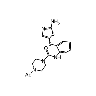 CC(=O)N1CCN(C(=O)Nc2ccccc2Sc2cnc(N)s2)CC1